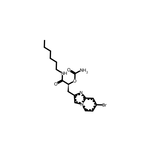 CCCCCCNC(=O)[C@H](Cc1cn2ccc(Br)cc2n1)OC(N)=O